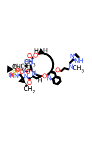 C=C[C@@H]1C[C@]1(NC(=O)[C@@H]1C[C@@H]2CN1C(=O)[C@H](C(C)(C)C)NC(=O)O[C@@H]1C[C@H]1CCCCCc1c(nc3ccccc3c1OCCCN(C)Cc1ncc[nH]1)O2)C(=O)NS(=O)(=O)C1(C)CC1